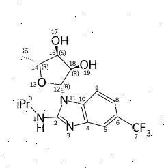 CC(C)Nc1nc2cc(C(F)(F)F)ccc2n1[C@@H]1O[C@H](C)[C@@H](O)[C@H]1O